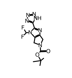 CC(C)(C)OC(=O)N1Cc2nc(-c3nnn[nH]3)n(C(F)F)c2C1